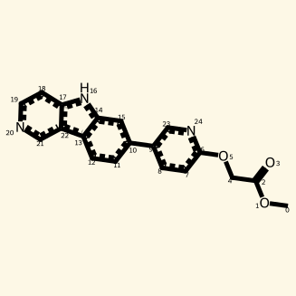 COC(=O)COc1ccc(-c2ccc3c(c2)[nH]c2ccncc23)cn1